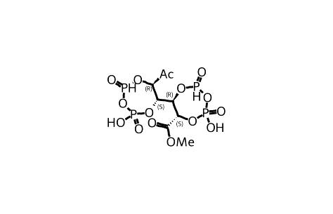 COC(=O)[C@H]1OP(=O)(O)O[PH](=O)O[C@@H]1[C@@H]1OP(=O)(O)O[PH](=O)O[C@H]1C(C)=O